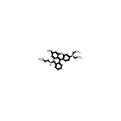 CCN(CC)c1ccc2c(-c3ccccc3C(=O)NCCN)c3ccc(=N)cc-3oc2c1